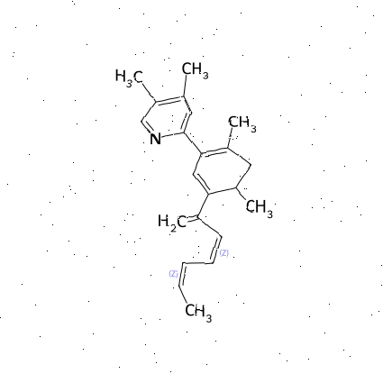 C=C(/C=C\C=C/C)C1=CC(c2cc(C)c(C)cn2)=C(C)CC1C